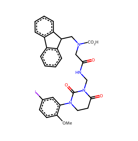 COc1ccc(I)cc1N1CCC(=O)N(CNC(=O)CN(CC2c3ccccc3-c3ccccc32)C(=O)O)C1=O